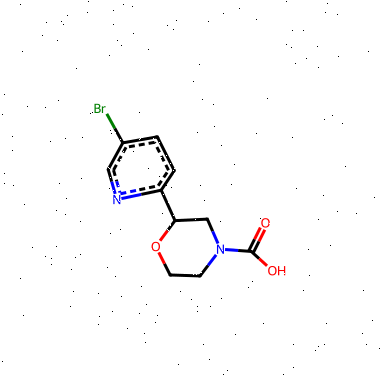 O=C(O)N1CCOC(c2ccc(Br)cn2)C1